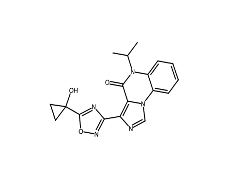 CC(C)n1c(=O)c2c(-c3noc(C4(O)CC4)n3)ncn2c2ccccc21